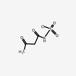 CC(=O)CC(=O)NS(=O)(=O)Cl